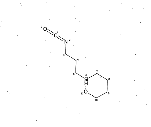 O=C=NCCC[SiH]1CCCCO1